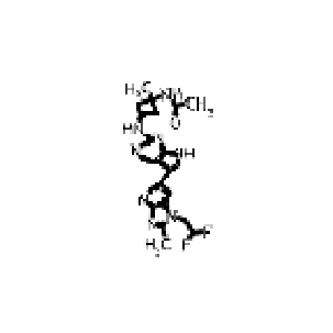 CC(=O)NC1(C)CC(Nc2ncc3c(-c4cnc5nc(C)n(CC(F)F)c5c4)c[nH]c3n2)C1